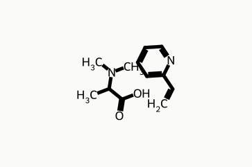 C=Cc1ccccn1.CC(C(=O)O)N(C)C